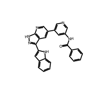 O=C(Nc1cncc(-c2cnc3[nH]nc(-c4cc5ccccc5[nH]4)c3c2)c1)c1ccccc1